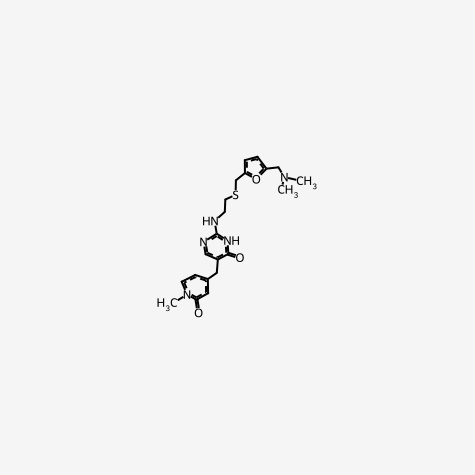 CN(C)Cc1ccc(CSCCNc2ncc(Cc3ccn(C)c(=O)c3)c(=O)[nH]2)o1